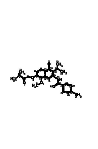 COc1c(OCC(=O)N(C)C)ccc2c(=O)n(C(C)C)c(NC(=O)c3cnc(N)nc3)nc12